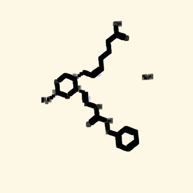 C[C@@H]1OC[C@H](C/C=C\CCCC(=O)O)[C@H](/C=N/NC(=O)NSc2ccccc2)O1.[NaH]